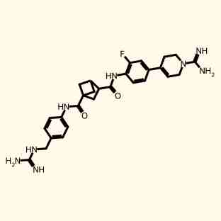 N=C(N)NCc1ccc(NC(=O)C23CC(C2)C(C(=O)Nc2ccc(C4=CCN(C(=N)N)CC4)cc2F)C3)cc1